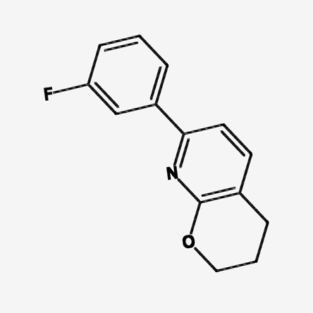 Fc1cccc(-c2ccc3c(n2)OCCC3)c1